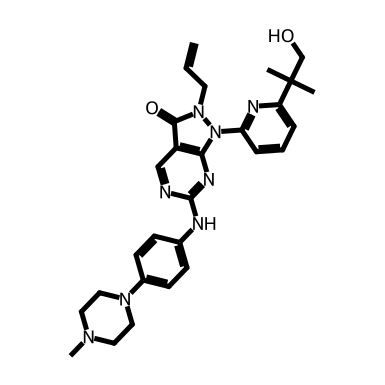 C=CCn1c(=O)c2cnc(Nc3ccc(N4CCN(C)CC4)cc3)nc2n1-c1cccc(C(C)(C)CO)n1